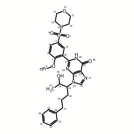 CCCOc1ccc(S(=O)(=O)N2CCOCC2)cc1-c1nc2c(ncn2C(CCCc2ccccc2)C(C)O)c(=O)[nH]1